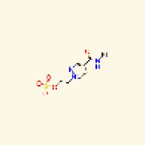 CCNC(=O)c1cc[n+](CCOS(=O)(=O)[O-])nc1